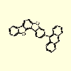 c1ccc2c(-c3ccc4c(c3)oc3ccc5c6ccccc6oc5c34)c3ccccc3cc2c1